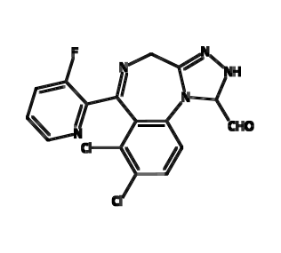 O=CC1NN=C2CN=C(c3ncccc3F)c3c(ccc(Cl)c3Cl)N21